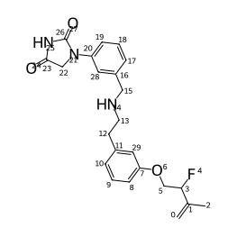 C=C(C)C(F)COc1cccc(CCNCc2cccc(N3CC(=O)NC3=O)c2)c1